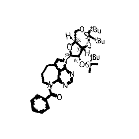 CC(C)(C)[Si](C)(C)O[C@H]1[C@H]2O[Si](C(C)(C)C)(C(C)(C)C)OC[C@@H]2O[C@@H]1n1cc2c3c(ncnc31)N(C(=O)c1ccccc1)CCC2